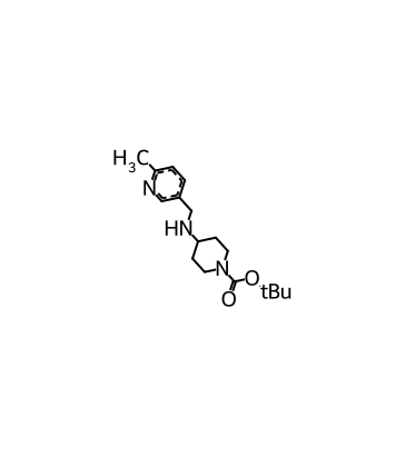 Cc1ccc(CNC2CCN(C(=O)OC(C)(C)C)CC2)cn1